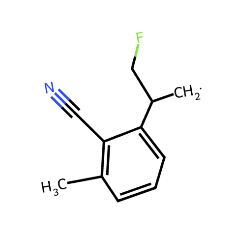 [CH2]C(CF)c1cccc(C)c1C#N